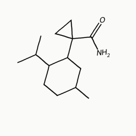 CC1CCC(C(C)C)C(C2(C(N)=O)CC2)C1